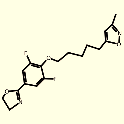 Cc1cc(CCCCCOc2c(F)cc(C3=NCCO3)cc2F)on1